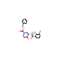 Cc1c(Br)cccc1C(=O)N[C@H]1CN(C(=O)OCc2ccccc2)CCC1=O